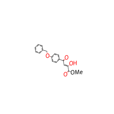 COC(=O)C(O)=CC(=O)c1ccc(OCc2ccccc2)cc1